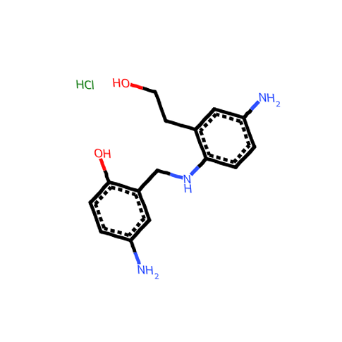 Cl.Nc1ccc(O)c(CNc2ccc(N)cc2CCO)c1